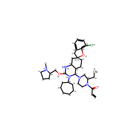 C=CC(=O)N1CCN(C2C3CC[C@]4(Cc5cccc(Cl)c5O4)CC3NC(OCC3CCCN3C)N2C2CCCCCC2)CC1CC#N